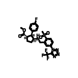 COC(=O)[C@H]1CC[C@H](NCc2cc(-n3nnnc3C(F)(F)F)ccc2S(C)(=O)=O)[C@@H]1c1ccc(F)cc1